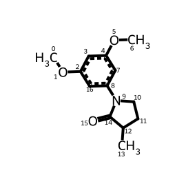 COc1cc(OC)cc(N2CCC(C)C2=O)c1